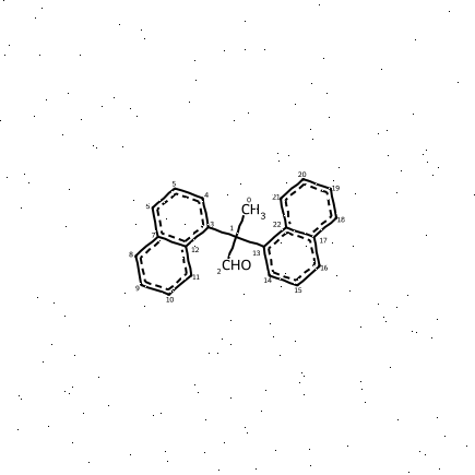 CC(C=O)(c1cccc2ccccc12)c1cccc2ccccc12